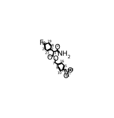 NC(=O)C(C(=O)OCc1ccc([N+](=O)[O-])cc1)c1ccc(F)cc1